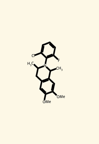 COc1cc2c(cc1OC)C(C)N(c1c(F)cccc1Cl)C(C)C2